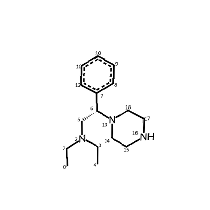 CCN(CC)C[C@H](c1ccccc1)N1CCNCC1